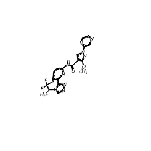 COc1nn(-c2cnccn2)cc1C(=O)Nc1cccc(-c2nncn2C(C)C(F)(F)F)n1